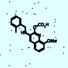 COc1cccc2cc(NCc3ccccc3C)c(OC(=O)O)nc12